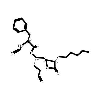 C=CCC[C@@H](C[C@@H]1OC(=O)[C@H]1CCCCCC)OC(=O)[C@H](Cc1ccccc1)NC=O